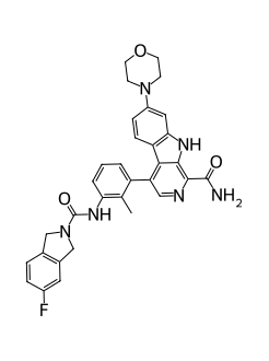 Cc1c(NC(=O)N2Cc3ccc(F)cc3C2)cccc1-c1cnc(C(N)=O)c2[nH]c3cc(N4CCOCC4)ccc3c12